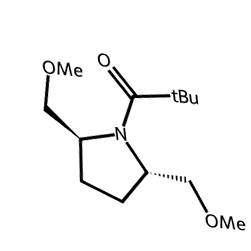 COC[C@@H]1CC[C@@H](COC)N1C(=O)C(C)(C)C